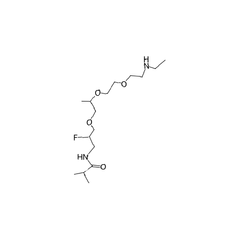 CCNCCOCCOC(C)COCC(F)CNC(=O)C(C)C